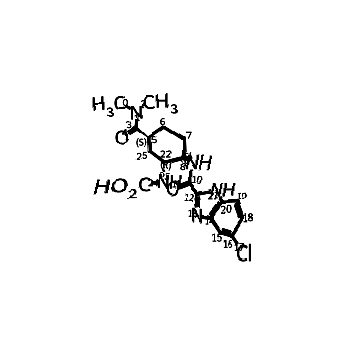 CN(C)C(=O)[C@H]1CC[C@H](NC(=O)c2nc3cc(Cl)ccc3[nH]2)[C@H](NC(=O)O)C1